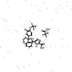 O=C(NC1(c2ccc(OC(F)(F)F)c(F)c2)CCOc2cccnc21)c1cnc(C(=O)O)[nH]1.O=C(O)C(F)(F)F